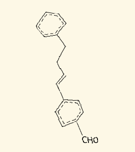 O=Cc1ccc(C=CCCc2ccccc2)cc1